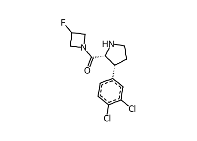 O=C([C@@H]1NCC[C@@H]1c1ccc(Cl)c(Cl)c1)N1CC(F)C1